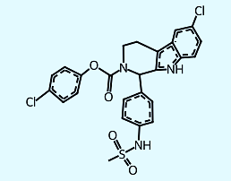 CS(=O)(=O)Nc1ccc(C2c3[nH]c4ccc(Cl)cc4c3CCN2C(=O)Oc2ccc(Cl)cc2)cc1